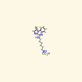 O=C(O)NCCCCCCNc1nc2ccccc2n2c(Br)cnc12